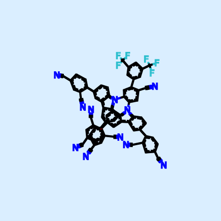 N#Cc1ccc(-c2ccc3c(c2)c2cc(-c4ccc(C#N)cc4C#N)ccc2n3-c2cc(C#N)c(-c3cc(C(F)(F)F)cc(C(F)(F)F)c3)cc2-n2c3ccc(-c4ccc(C#N)cc4C#N)cc3c3cc(-c4ccc(C#N)cc4C#N)ccc32)c(C#N)c1